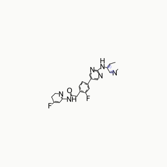 C/C=C(\C=N/C)Nc1ncc(-c2ccc(CC(=O)NC3=NCCC(F)=C3)c(F)c2)cn1